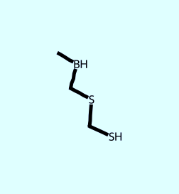 CBCSCS